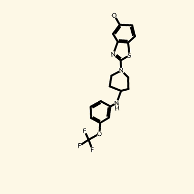 [O]c1ccc2sc(N3CCC(Nc4cccc(OC(F)(F)F)c4)CC3)nc2c1